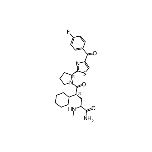 CNC(C[C@H](C(=O)N1CCC[C@H]1c1nc(C(=O)c2ccc(F)cc2)cs1)C1CCCCC1)C(N)=O